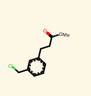 COC(=O)CCc1cccc(CCl)c1